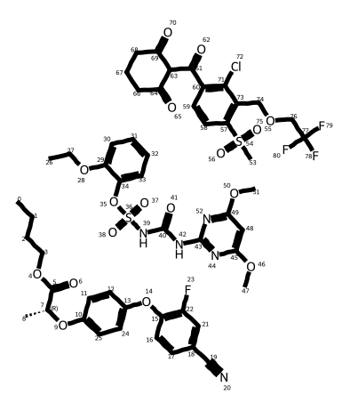 CCCCOC(=O)[C@@H](C)Oc1ccc(Oc2ccc(C#N)cc2F)cc1.CCOc1ccccc1OS(=O)(=O)NC(=O)Nc1nc(OC)cc(OC)n1.CS(=O)(=O)c1ccc(C(=O)C2C(=O)CCCC2=O)c(Cl)c1COCC(F)(F)F